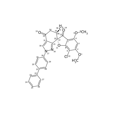 COc1cc(OC)c2c(c1Cl)O[C@]1(C2=O)c2nn(-c3ccc(-c4ccccc4)cc3)cc2C(=O)C[C@H]1C